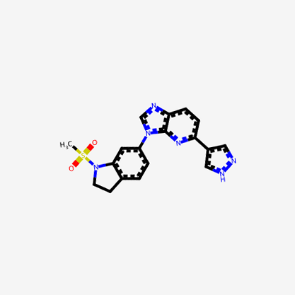 CS(=O)(=O)N1CCc2ccc(-n3cnc4ccc(-c5cn[nH]c5)nc43)cc21